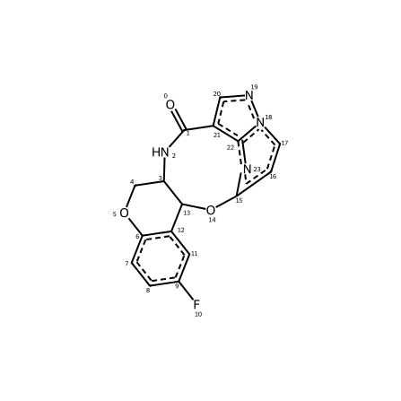 O=C1NC2COc3ccc(F)cc3C2Oc2ccn3ncc1c3n2